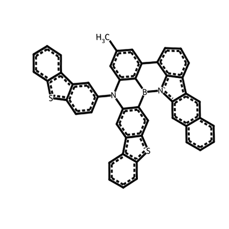 Cc1cc2c3c(c1)N(c1ccc4sc5ccccc5c4c1)c1cc4c(cc1B3n1c3cc5ccccc5cc3c3cccc-2c31)sc1ccccc14